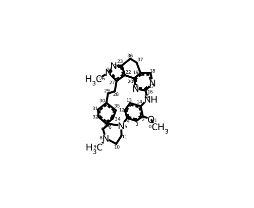 COc1cc(N2CCN(C)CC2)ccc1Nc1ncc2c(n1)-c1c(nn(C)c1CCc1ccccc1)CC2